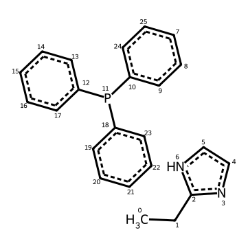 CCc1ncc[nH]1.c1ccc(P(c2ccccc2)c2ccccc2)cc1